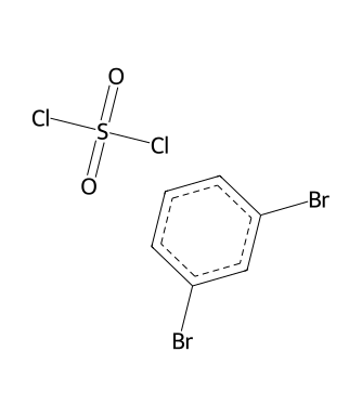 Brc1cccc(Br)c1.O=S(=O)(Cl)Cl